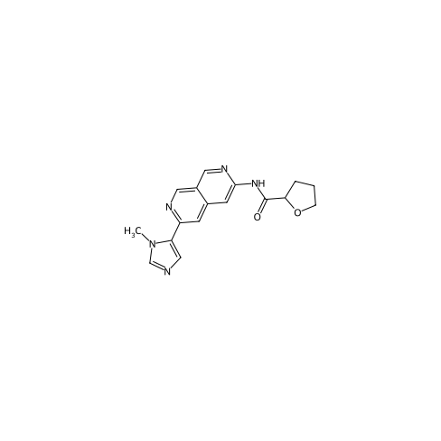 Cn1cncc1-c1cc2cc(NC(=O)C3CCCO3)ncc2cn1